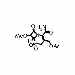 COC1C(=O)N2C(C(N)=O)=C(COC(C)=O)CS(=O)(=O)[C@@H]12